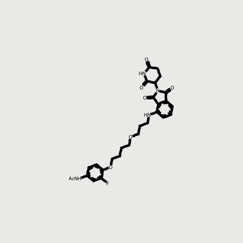 CC(=O)Nc1ccc(OCCCCOCCCNc2cccc3c2C(=O)N(C2CCC(=O)NC2=O)C3=O)c(F)c1